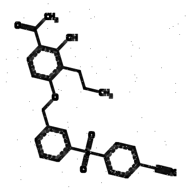 CCCc1c(OCc2cccc(S(=O)(=O)c3ccc(C#N)cc3)c2)ccc(C(C)=O)c1O